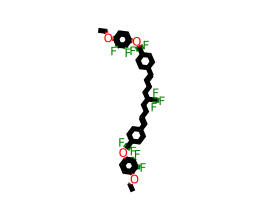 CCOc1ccc(OC(F)(F)C2CCC(/C=C/CCC(CC/C=C/C3CCC(C(F)(F)Oc4ccc(OCC)c(F)c4F)CC3)C(F)(F)F)CC2)c(F)c1F